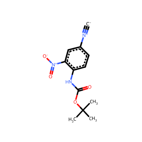 [C-]#[N+]c1ccc(NC(=O)OC(C)(C)C)c([N+](=O)[O-])c1